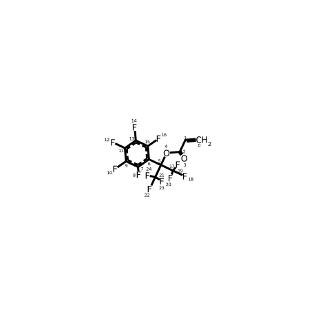 C=CC(=O)OC(c1c(F)c(F)c(F)c(F)c1F)(C(F)(F)F)C(F)(F)F